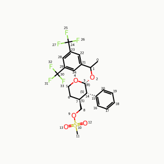 CC(O[C@H]1OCC[C@H](COS(C)(=O)=O)[C@H]1c1ccccc1)c1cc(C(F)(F)F)cc(C(F)(F)F)c1